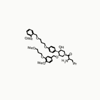 COCCCOc1cc(CO[C@H]2CN(C(=O)C(N)CC(C)C)C[C@@H](O)[C@@H]2c2ccc(OCCCOCc3ccccc3OC)cc2)ccc1OC